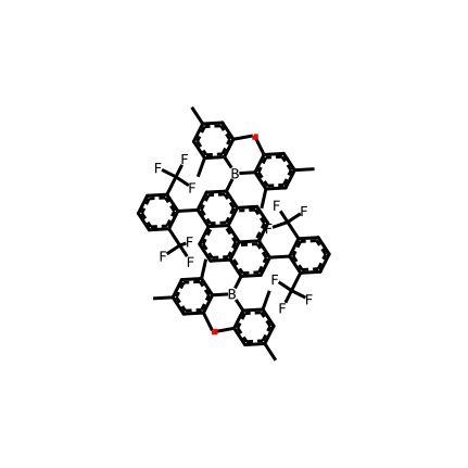 Cc1cc(C)c(B(c2c(C)cc(C)cc2C)c2cc(-c3c(C(F)(F)F)cccc3C(F)(F)F)c3ccc4c(B(c5c(C)cc(C)cc5C)c5c(C)cc(C)cc5C)cc(-c5c(C(F)(F)F)cccc5C(F)(F)F)c5ccc2c3c45)c(C)c1